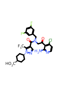 Nc1nccc(Cl)c1C(=O)CN(Cc1cc(F)cc(F)c1)C(=O)c1cnn([C@H]2CC[C@H](C(=O)O)CC2)c1C(F)(F)F